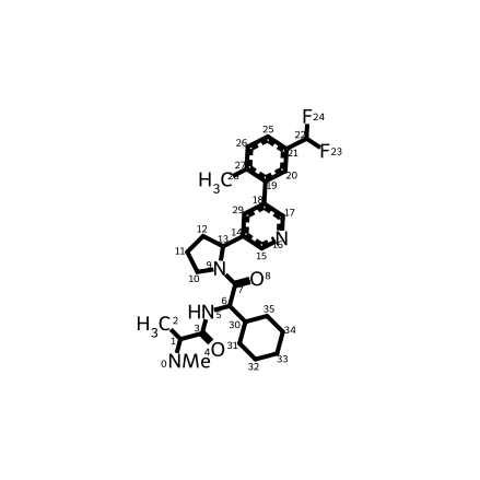 CNC(C)C(=O)NC(C(=O)N1CCCC1c1cncc(-c2cc(C(F)F)ccc2C)c1)C1CCCCC1